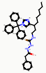 CCCCCCC(CCNC(=S)NNC(=O)Cc1ccccc1)c1cn(C(c2ccccc2)(c2ccccc2)c2ccccc2)cn1